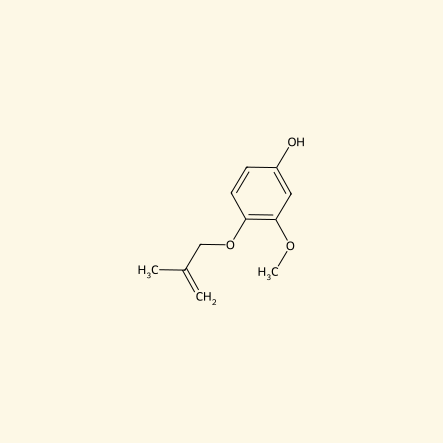 C=C(C)COc1ccc(O)cc1OC